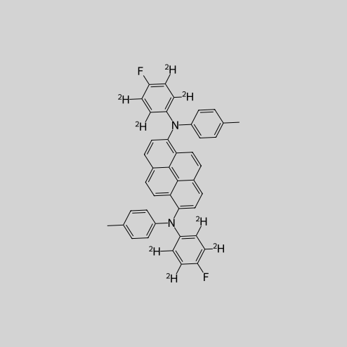 [2H]c1c([2H])c(N(c2ccc(C)cc2)c2ccc3ccc4c(N(c5ccc(C)cc5)c5c([2H])c([2H])c(F)c([2H])c5[2H])ccc5ccc2c3c54)c([2H])c([2H])c1F